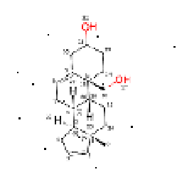 C[C@@]12C=CC[C@H]1[C@@H]1CC=C3CC(O)CC[C@]3(CO)[C@@H]1CC2